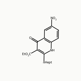 CCCCCCCc1[nH]c2ccc([N+](=O)[O-])cc2c(=O)c1C(=O)OCC